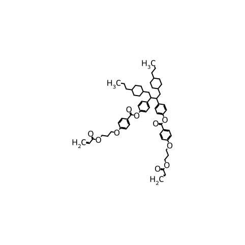 C=CC(=O)OCCCOc1ccc(C(=O)Oc2ccc(C(CC3CCC(CCC)CC3)C(CC3CCC(CCC)CC3)c3ccc(OC(=O)c4ccc(OCCCOC(=O)C=C)cc4)cc3)cc2)cc1